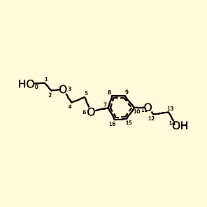 OCCOCCOc1ccc(OCCO)cc1